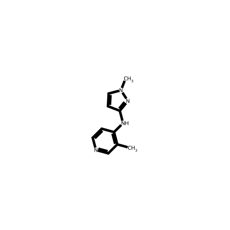 Cc1cnccc1Nc1ccn(C)n1